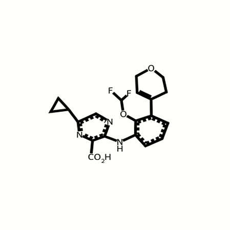 O=C(O)c1nc(C2CC2)cnc1Nc1cccc(C2=CCOCC2)c1OC(F)F